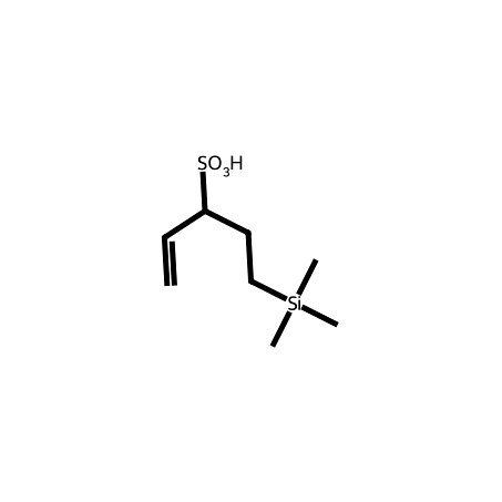 C=CC(CC[Si](C)(C)C)S(=O)(=O)O